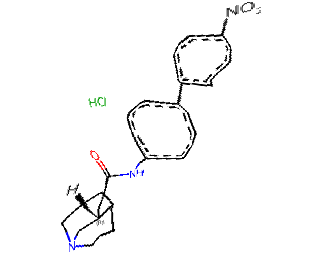 Cl.O=C(Nc1ccc(-c2ccc([N+](=O)[O-])cc2)cc1)[C@H]1CN2CCC1CC2